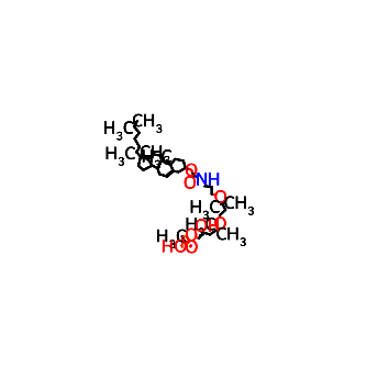 CC(C)CCCC(C)C1CCC2C3CC=C4CC(OC(=O)NCCCOC(C)(C)CCOC(C)(C)CC(O)COP(C)(=O)O)CCC4(C)C3CCC12C